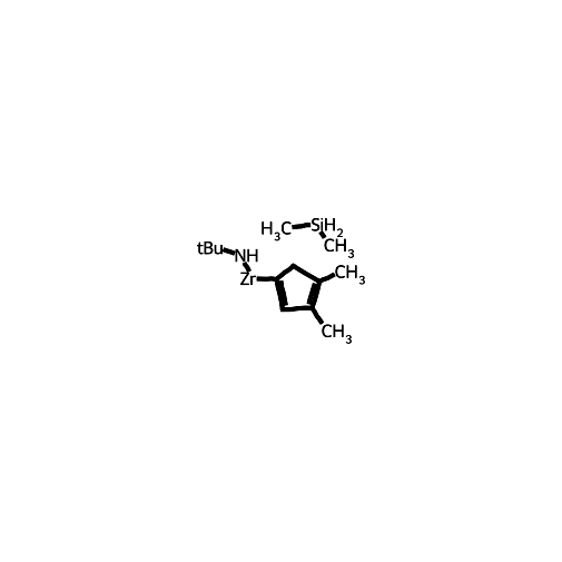 CC1=C(C)C[C]([Zr][NH]C(C)(C)C)=C1.C[SiH2]C